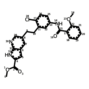 COC(=O)c1cc2cc(CCc3cc(NC(=O)c4ccccc4OC)ccc3Cl)cnc2[nH]1